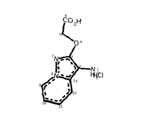 Cl.Nc1c(OCC(=O)O)nn2ccccc12